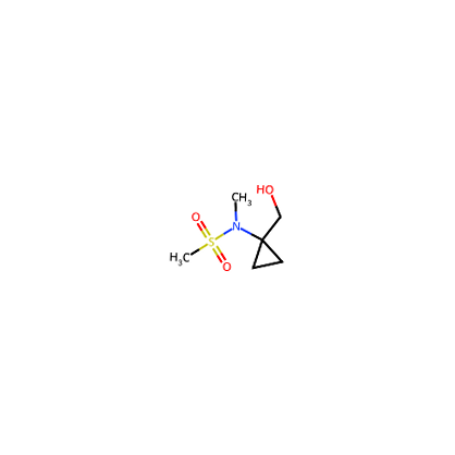 CN(C1(CO)CC1)S(C)(=O)=O